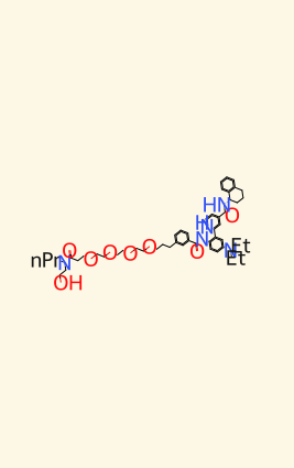 CCCN(CCO)C(=O)CCOCCOCCOCCOCCCc1cccc(C(=O)Nc2ccc(N(CC)CC)cc2-c2cc(C(=O)N[C@H]3CCCc4ccccc43)ccn2)c1